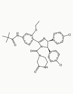 CCOc1cc(NC(=O)C(C)(C)C)ccc1C1=N[C@@H](c2ccc(Cl)cc2)[C@@H](c2ccc(Cl)cc2)N1C(=O)N1CCNC(=O)C1